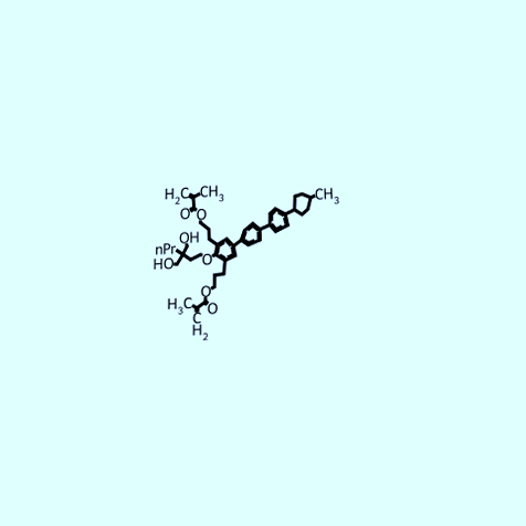 C=C(C)C(=O)OCCCc1cc(-c2ccc(-c3ccc(C4CCC(C)CC4)cc3)cc2)cc(CCCOC(=O)C(=C)C)c1OCCC(CO)(CO)CCC